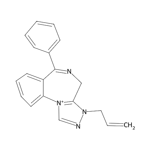 C=CCn1nc[n+]2c1CN=C(c1ccccc1)c1ccccc1-2